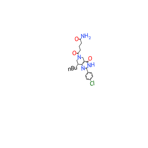 CCCCC1CN(C(=O)CCCC(N)=O)Cc2c1nc(-c1ccc(Cl)cc1)[nH]c2=O